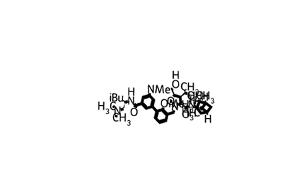 CC[C@H](C)[C@@H](CN(C)C)NC(=O)c1cc(NC)cc(-c2cccc(CN3O[C@@H](CO)[C@@H]([C@H](C)O)[C@H]3C(=O)N[C@H]3C[C@H]4C[C@@H]([C@@H]3C)C4(C)C)c2OC)c1